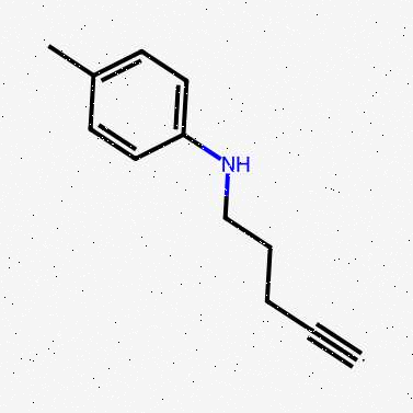 [C]#CCCCNc1ccc(C)cc1